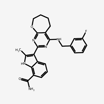 Cc1[nH]c2c(C(N)=O)cccc2c1-c1nc(NCc2cccc(F)c2)c2c(n1)OCCCC2